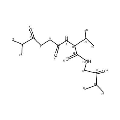 CC(C)C(=O)CCC(=O)NC(C(=O)NCC(=O)C(C)C)C(C)C